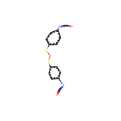 O=C=Nc1ccc(SOSc2ccc(N=C=O)cc2)cc1